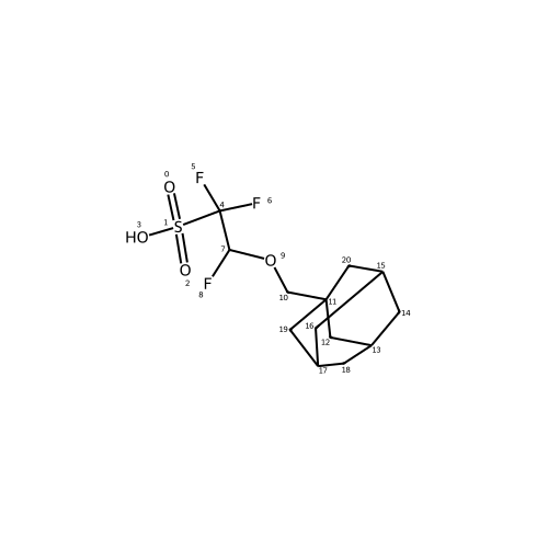 O=S(=O)(O)C(F)(F)C(F)OCC12CC3CC(CC(C3)C1)C2